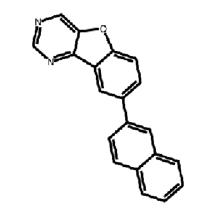 c1ccc2cc(-c3ccc4oc5cncnc5c4c3)ccc2c1